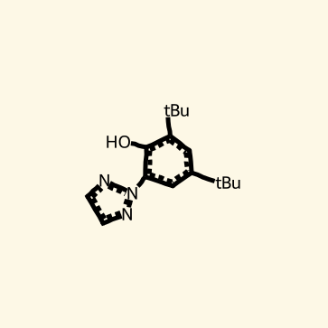 CC(C)(C)c1cc(-n2nccn2)c(O)c(C(C)(C)C)c1